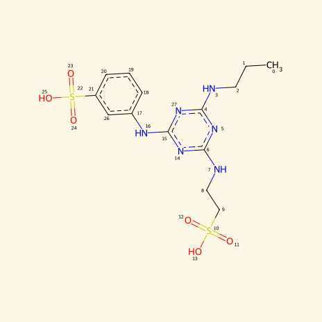 CCCNc1nc(NCCS(=O)(=O)O)nc(Nc2cccc(S(=O)(=O)O)c2)n1